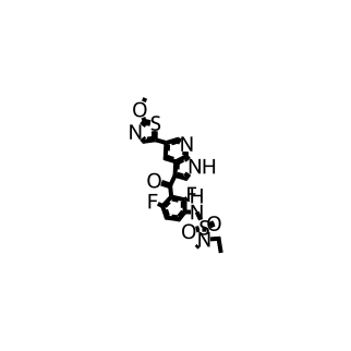 CCN(C)S(=O)(=O)Nc1ccc(F)c(C(=O)c2c[nH]c3ncc(-c4cnc(OC)s4)cc23)c1F